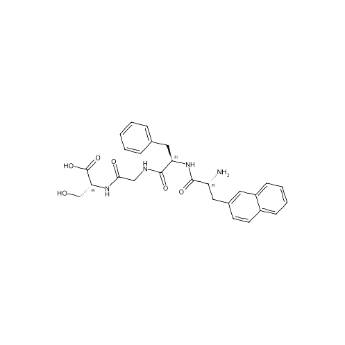 N[C@H](Cc1ccc2ccccc2c1)C(=O)N[C@H](Cc1ccccc1)C(=O)NCC(=O)N[C@H](CO)C(=O)O